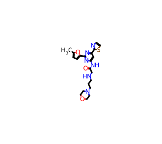 Cc1ccc(-c2nc(NC(=O)CNCCCN3CCOCC3)cc(-c3nccs3)n2)o1